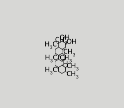 C[C@H]1[C@H](C)CC[C@]2(C)CC[C@]3(C)C(=CCC4[C@@]5(C)C[C@@H](O)[C@H](O)C(C)(C)C5CC[C@]43C)[C@H]12